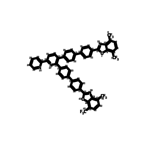 FC(F)(F)c1ccc(C(F)(F)F)c2oc(-c3ccc(-c4ccc(-c5ccc(-c6ccccn6)nc5-c5ccc(-c6ccc(-c7nc8c(C(F)(F)F)ccc(C(F)(F)F)c8o7)cc6)cc5)cc4)cc3)nc12